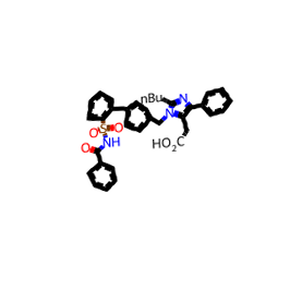 CCCCc1nc(-c2ccccc2)c(CC(=O)O)n1Cc1ccc(-c2ccccc2S(=O)(=O)NC(=O)c2ccccc2)cc1